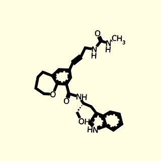 CNC(=O)NCC#Cc1cc2c(c(C(=O)N[C@@H](CO)Cc3c[nH]c4ccccc34)c1)OCCCC2